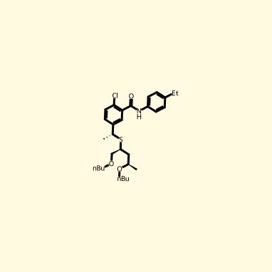 CCCCOC[C@H](C[C@@H](C)OCCCC)S[C@H](C)c1ccc(Cl)c(C(=O)Nc2ccc(CC)cc2)c1